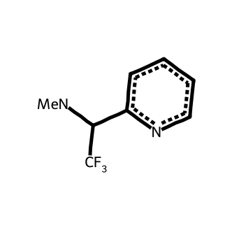 CNC(c1ccccn1)C(F)(F)F